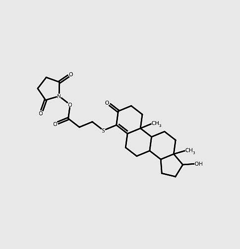 CC12CCC(=O)C(SCCC(=O)ON3C(=O)CCC3=O)=C1CCC1C2CCC2(C)C(O)CCC12